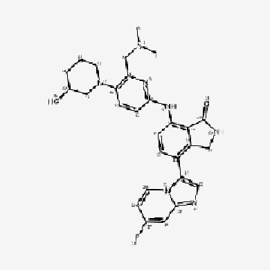 CN(C)Cc1nc(Nc2ccc(-c3cnc4cc(F)ccn34)c3c2C(=O)NC3)ccc1N1CCC[C@H](O)C1